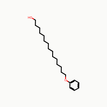 OCCCCCCCCCCCCCCCOc1ccccc1